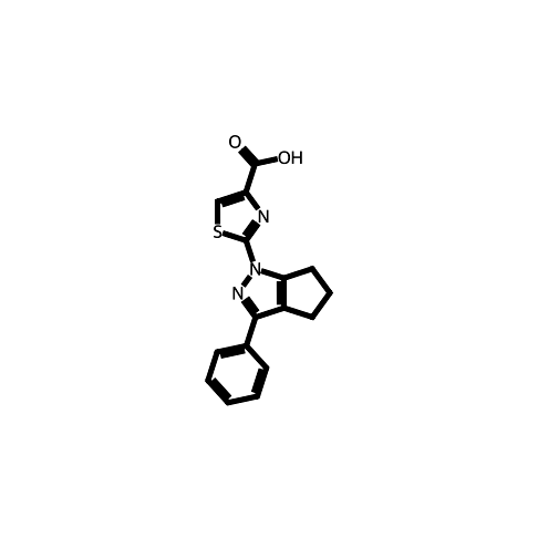 O=C(O)c1csc(-n2nc(-c3ccccc3)c3c2CCC3)n1